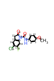 COc1ccc(NC(=O)N2C(=O)Cc3cc(Cl)c(F)cc32)cc1